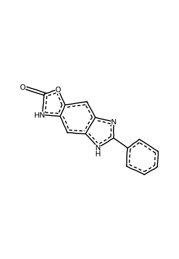 O=c1[nH]c2cc3[nH]c(-c4ccccc4)nc3cc2o1